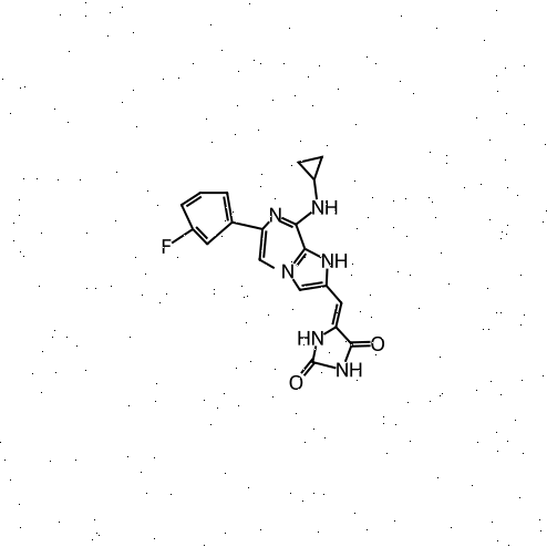 C/C=C(\N=C(\NC1CC1)c1ncc(/C=C2\NC(=O)NC2=O)[nH]1)c1cccc(F)c1